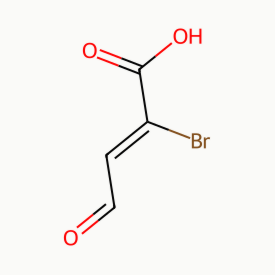 O=CC=C(Br)C(=O)O